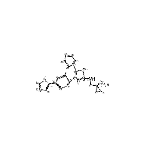 O=C(O)C1(CNc2nc(-c3ccc(-c4cnco4)cc3)c(-c3cccnc3)s2)CC1